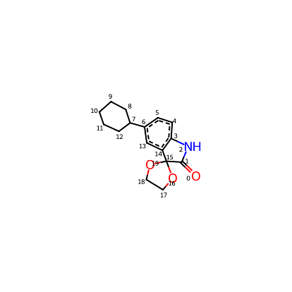 O=C1Nc2ccc(C3CCCCC3)cc2C12OCCO2